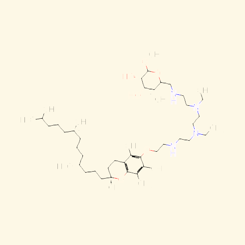 CCN(CCNCCOc1c(C)c(C)c2c(c1C)CC[C@@](C)(CCC[C@H](C)CCC[C@H](C)CCCC(C)C)O2)CCN(CC)CCNCC1OC(OC)[C@@H](O)[C@@H](O)[C@H]1C